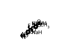 CNS(=O)(=O)Nc1cccc(Cc2c(CF)c3ccc(Oc4ncccn4)cc3oc2=O)c1F.[NaH]